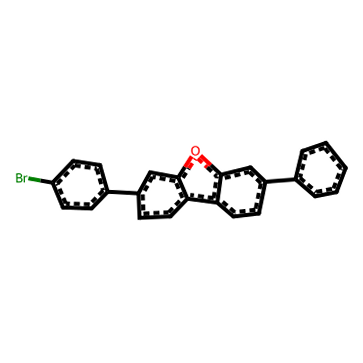 Brc1ccc(-c2ccc3c(c2)oc2cc(-c4ccccc4)ccc23)cc1